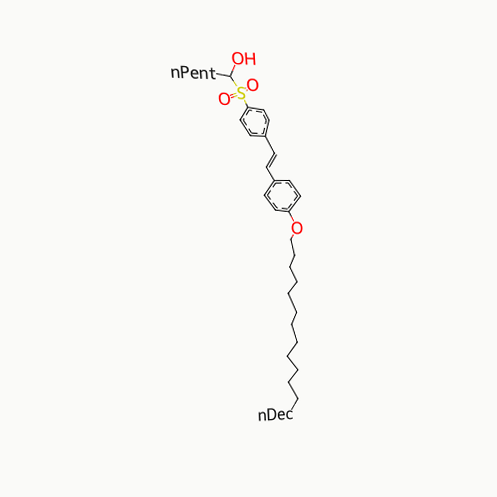 CCCCCCCCCCCCCCCCCCCCCCOc1ccc(C=Cc2ccc(S(=O)(=O)C(O)CCCCC)cc2)cc1